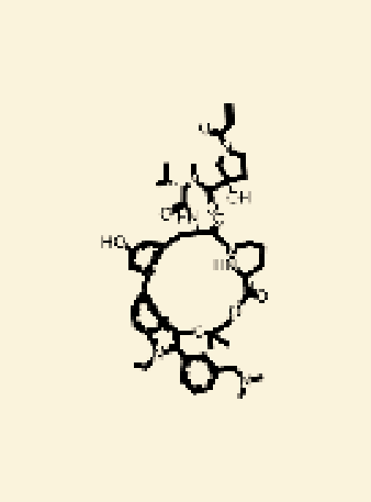 C=CC(=O)N1CC[C@](O)(C(=O)N(C)[C@H](C(=O)N[C@H]2Cc3cc(O)cc(c3)-c3ccc4c(c3)c(c(-c3cccc(CN(C)C)c3)n4CC)CC(C)(C)COC(=O)[C@@H]3CCCN(N3)C2=O)C(C)C)C1